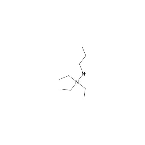 CCC[N][N+](CC)(CC)CC